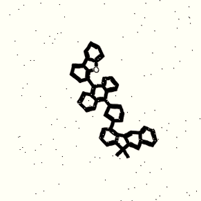 CC1(C)c2cc3ccccc3cc2-c2c(-c3cccc(-c4c5ccccc5c(-c5cccc6c5oc5ccccc56)c5ccccc45)c3)cccc21